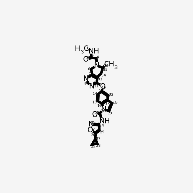 CNC(=O)CN1Cc2ncnc(Oc3ccc4c(ccn4C(=O)Nc4cc(C5CC5)on4)c3)c2CC1C